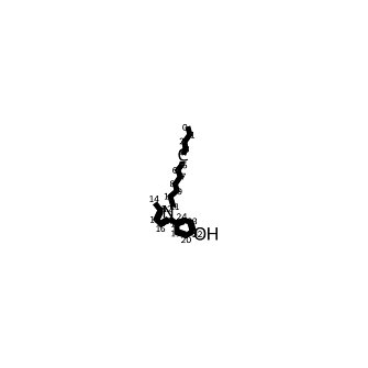 CCCCCCCCCCCCn1c(C)ccc1-c1ccc(O)cc1